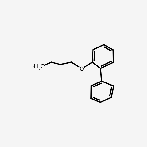 [CH2]CCCOc1ccccc1-c1ccccc1